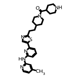 Cc1ccnc(Nc2cccc(-c3cnc(CCC4CCN(C(=O)C5CCNCC5)CC4)s3)n2)c1